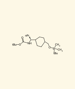 CCC[C@H](NC(=O)OC(C)(C)C)C1CCC(CO[Si](C)(C)C(C)(C)C)CC1